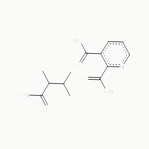 CC(C)C(C)C(N)=O.O=C(O)c1cccnc1C(=O)O